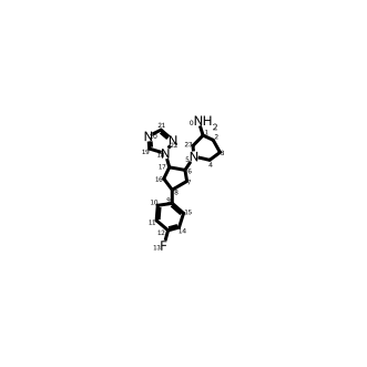 NC1CCCN(C2CC(c3ccc(F)cc3)CC2n2cncn2)C1